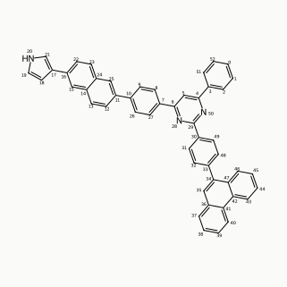 c1ccc(-c2cc(-c3ccc(-c4ccc5cc(-c6cc[nH]c6)ccc5c4)cc3)nc(-c3ccc(-c4cc5ccccc5c5ccccc45)cc3)n2)cc1